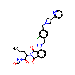 CCCC(C(=O)NC=O)N1C(=O)c2cccc(NCc3ccc(CN4CC(c5ccccn5)C4)cc3F)c2C1=O